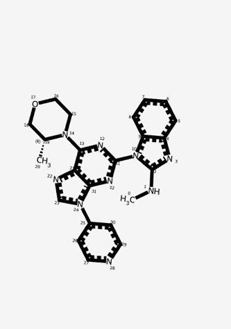 CNc1nc2ccccc2n1-c1nc(N2CCOC[C@H]2C)c2ncn(-c3ccncc3)c2n1